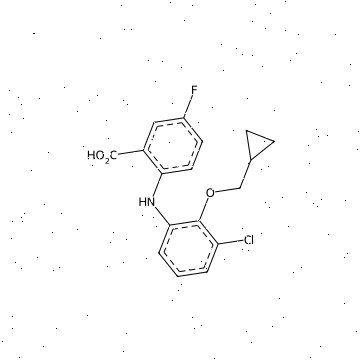 O=C(O)c1cc(F)ccc1Nc1cccc(Cl)c1OCC1CC1